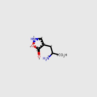 NC(Cc1c[nH]oc1=O)C(=O)O